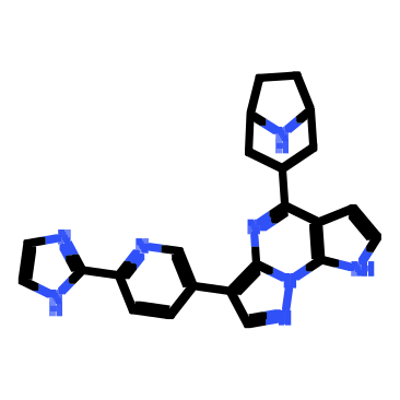 c1c[nH]c(-c2ccc(-c3cnn4c3nc(C3CC5CCC(C3)N5)c3cc[nH]c34)cn2)n1